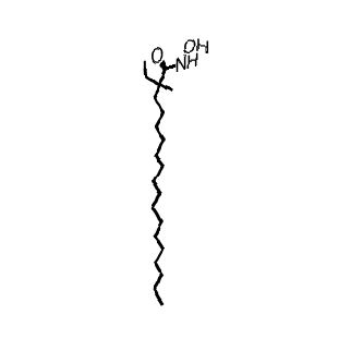 CCCCCCCCCCCCCCCCC(C)(CC)C(=O)NO